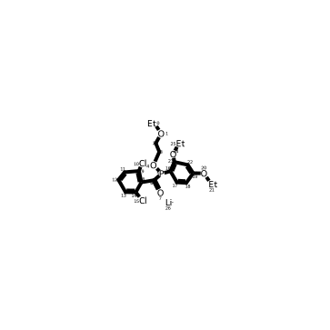 CCOCCOP(C(=O)c1c(Cl)cccc1Cl)c1ccc(OCC)cc1OCC.[Li]